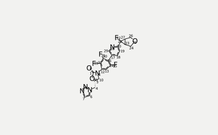 O=C1O[C@@H](Cn2ccnn2)CN1c1cc(F)c(-c2ccc(C3(F)C4COCC43)nc2)c(F)c1F